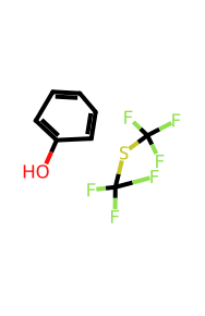 FC(F)(F)SC(F)(F)F.Oc1ccccc1